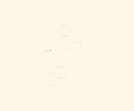 CN(C(=O)COc1cccc2c1CCCN2)C(CN1CC[C@H](O)C1)c1ccccc1